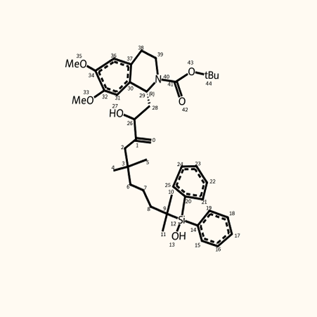 C=C(CC(C)(C)CCCC(C)(C)[Si](O)(c1ccccc1)c1ccccc1)C(O)C[C@@H]1c2cc(OC)c(OC)cc2CCN1C(=O)OC(C)(C)C